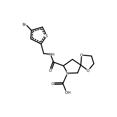 O=C(NCc1cc(Br)cs1)C1CC2(CN1C(=O)O)OCCO2